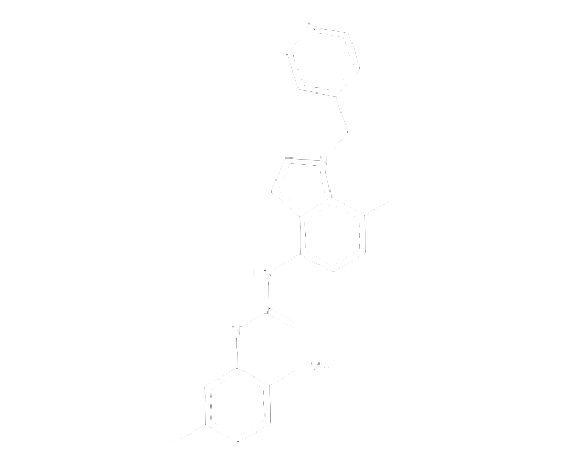 COc1ccc(Br)cc1NC(=O)Nc1ccc(F)c2c1ccn2Cc1ccncc1